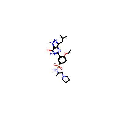 CCOc1ccc(S(=O)(=O)NC(C)CN2CCCC2)cc1-c1nc2c(CC(C)C)nn(C)c2c(=O)[nH]1